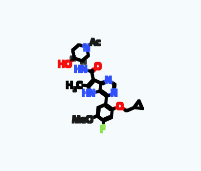 COc1cc(-c2ncnc3c(C(=O)N[C@H]4CN(C(C)=O)CC[C@@H]4O)c(C)[nH]c23)c(OCC2CC2)cc1F